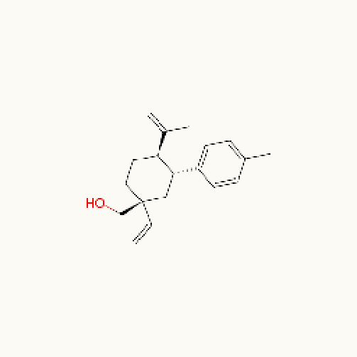 C=C[C@]1(CO)CC[C@@H](C(=C)C)[C@H](c2ccc(C)cc2)C1